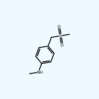 CNc1ccc(CS(C)(=O)=O)cc1